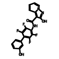 O=C(Nc1c(F)c(F)c(-c2cccc(O)c2)c(F)c1F)c1c(O)nn2ccccc12